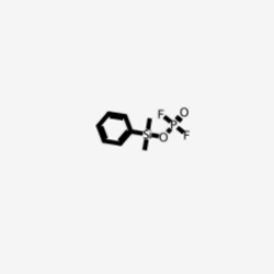 C[Si](C)(OP(=O)(F)F)c1ccccc1